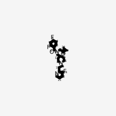 O=C(c1ccc(F)cc1F)N1CC2(CCN(CCc3ncccc3F)CC2)OC2(CC2)C1